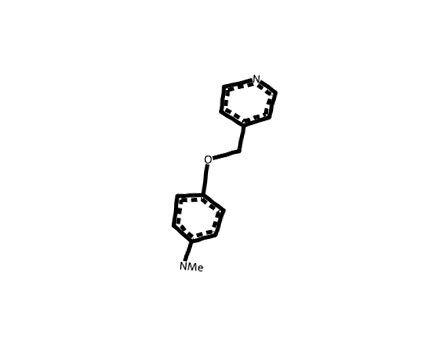 CNc1ccc(OCc2ccncc2)cc1